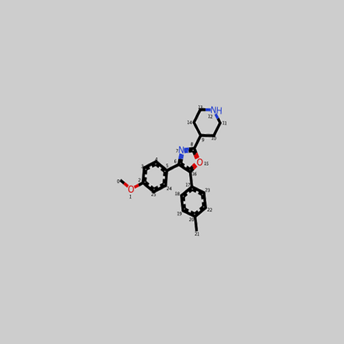 COc1ccc(-c2nc(C3CCNCC3)oc2-c2ccc(C)cc2)cc1